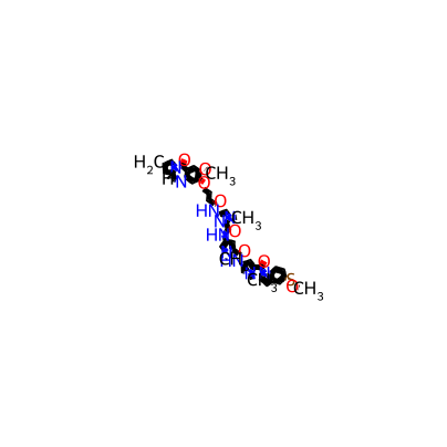 C=C1C[C@H]2C=Nc3cc(OCCCC(=O)Nc4cn(C)c(C(=O)Nc5cc(C(=O)Nc6cc(C(=O)n7ccc8cc(SOC)ccc87)n(C)c6)n(C)c5)n4)c(OC)cc3C(=O)N2C1